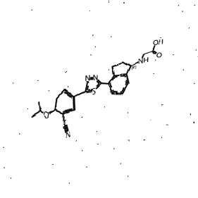 CC(C)OC1CC=C(c2nnc(-c3cccc4c3CC[C@H]4NCC(=O)O)s2)C=C1C#N